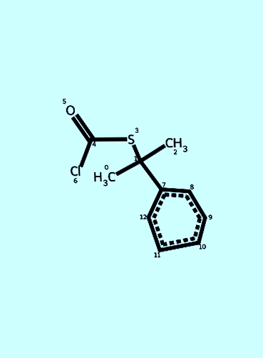 CC(C)(SC(=O)Cl)c1ccccc1